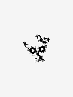 CCCSc1ccc(B(CC=C(C)Br)c2ccc(F)cc2)cc1.COCn1ccnc1